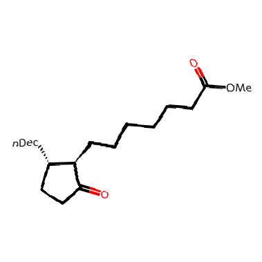 CCCCCCCCCC[C@H]1CCC(=O)[C@@H]1CCCCCCC(=O)OC